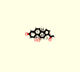 CC(=O)C1CC[C@H]2[C@@H]3CCC4=CC(=O)CC[C@]4(C)[C@H]3[C@H](O)C[C@]12C